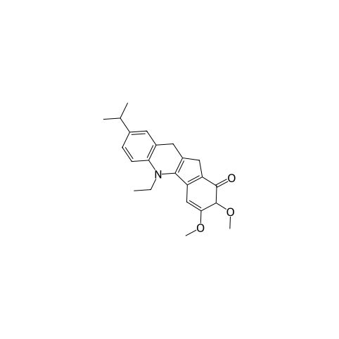 CCN1C2=C(CC3=C2C=C(OC)C(OC)C3=O)Cc2cc(C(C)C)ccc21